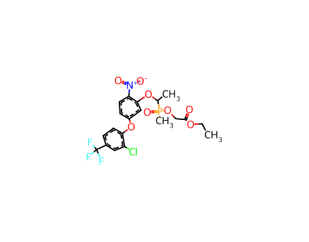 CCOC(=O)COP(C)(=O)C(C)Oc1cc(Oc2ccc(C(F)(F)F)cc2Cl)ccc1[N+](=O)[O-]